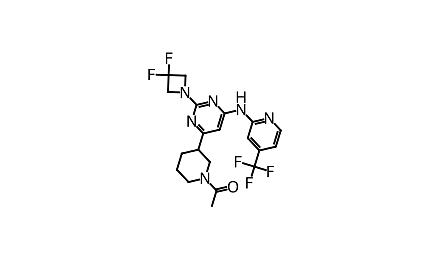 CC(=O)N1CCCC(c2cc(Nc3cc(C(F)(F)F)ccn3)nc(N3CC(F)(F)C3)n2)C1